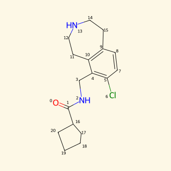 O=C(NCc1c(Cl)ccc2c1CCNCC2)C1CCCC1